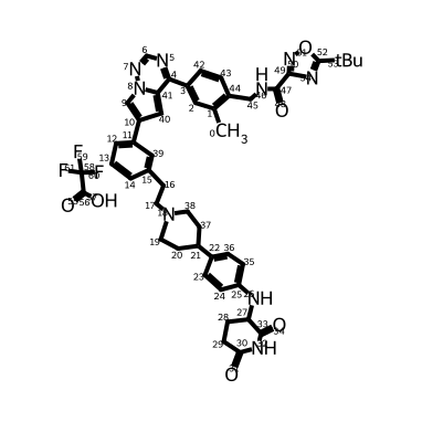 Cc1cc(-c2ncnn3cc(-c4cccc(CCN5CCC(c6ccc(NC7CCC(=O)NC7=O)cc6)CC5)c4)cc23)ccc1CNC(=O)c1noc(C(C)(C)C)n1.O=C(O)C(F)(F)F